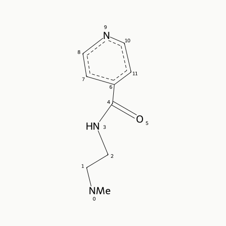 CNCCNC(=O)c1ccncc1